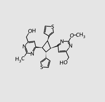 COc1nc(CO)cc([C@H]2[C@H](c3ccsc3)[C@@H](c3cc(CO)nc(C)n3)[C@H]2c2ccsc2)n1